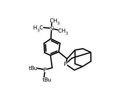 CC(C)(C)P(Cc1ccc([Si](C)(C)C)cc1C1C2CC3CC(C2)CP1C3)C(C)(C)C